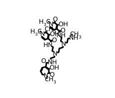 C=C1C(O)=C(C(=O)NCCN(CCCN(CCNC)CCNC(=O)c2ccn(C)c(=O)c2O)CCNC(=O)C2=C(O)C(=O)N(C)CC=C2)C=CN1C